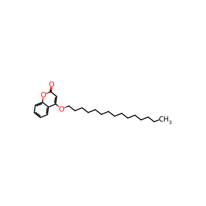 CCCCCCCCCCCCCCCOc1cc(=O)oc2ccccc12